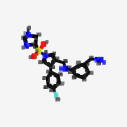 Cn1cnc(S(=O)(=O)n2cc(CNc3cccc(CN)c3)c(-c3ccc(F)cc3)c2)c1